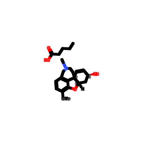 CCCCC(=O)O.COc1ccc2c3c1O[C@H]1C[C@@H](O)C=C[C@@]31CCN(C)C2